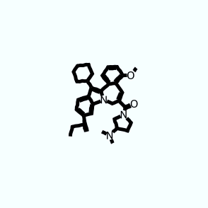 C=C(CC)c1ccc2c(C3CCCCC3)c3n(c2c1)CC(C(=O)N1CCC(N(C)C)C1)=Cc1c(OC)cccc1-3